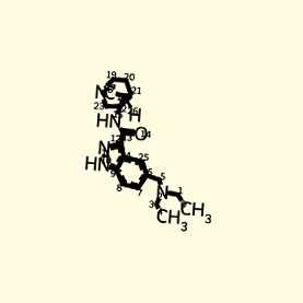 CCN(CC)Cc1ccc2[nH]nc(C(=O)N[C@@H]3CN4CCC3CC4)c2c1